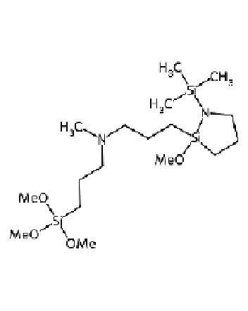 CO[Si](CCCN(C)CCC[Si]1(OC)CCCN1[Si](C)(C)C)(OC)OC